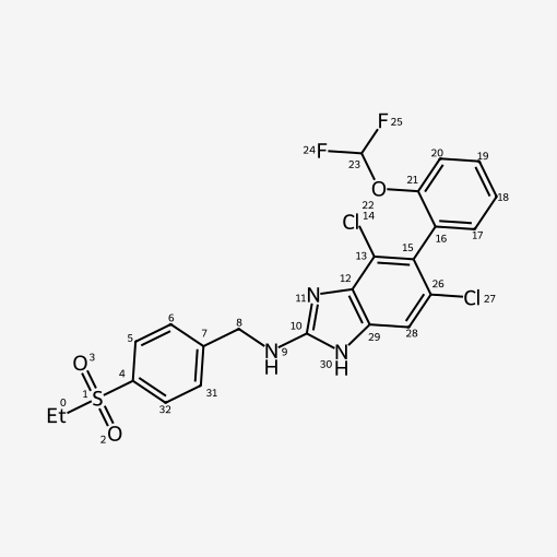 CCS(=O)(=O)c1ccc(CNc2nc3c(Cl)c(-c4ccccc4OC(F)F)c(Cl)cc3[nH]2)cc1